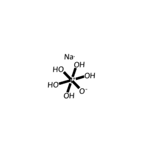 [Na].[O-][I+](O)(O)(O)(O)O